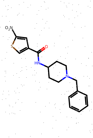 O=C(NC1CCN(Cc2ccccc2)CC1)c1csc([N+](=O)[O-])c1